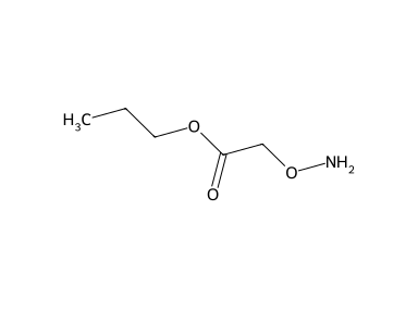 CCCOC(=O)CON